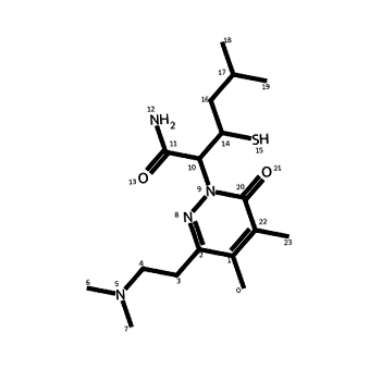 Cc1c(CCN(C)C)nn(C(C(N)=O)C(S)CC(C)C)c(=O)c1C